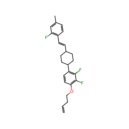 C=CCCOc1ccc(C2CCC(/C=C/c3ccc(C)cc3F)CC2)c(F)c1F